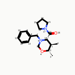 C[C@H]1[C@H](C)OCN(Cc2ccccc2)[C@@H]1C(=O)N1CCCC1